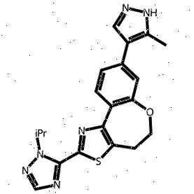 Cc1[nH]ncc1-c1ccc2c(c1)OCCc1sc(-c3ncnn3C(C)C)nc1-2